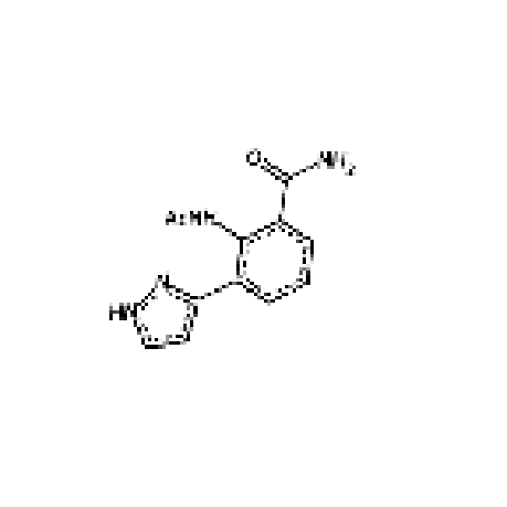 CC(=O)Nc1c(C(N)=O)cccc1-c1cc[nH]n1